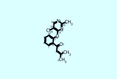 CC(C)=CC(=O)c1ccccc1Oc1nc(C)ncc1Cl